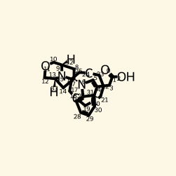 O=C(O)Cc1cn([C@H]2C[C@H]3COC[C@@H](C2)N3C2CCCCCCCCC2)c2ccccc12